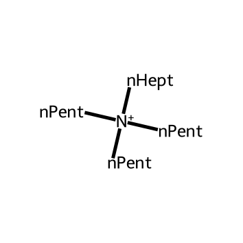 CCCCCCC[N+](CCCCC)(CCCCC)CCCCC